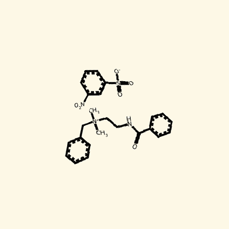 C[N+](C)(CCNC(=O)c1ccccc1)Cc1ccccc1.O=[N+]([O-])c1cccc(S(=O)(=O)[O-])c1